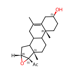 CC(=O)[C@@]12O[C@@H]1CC1C3CC(C)=C4C[C@@H](O)CC[C@]4(C)C3CC[C@@]12C